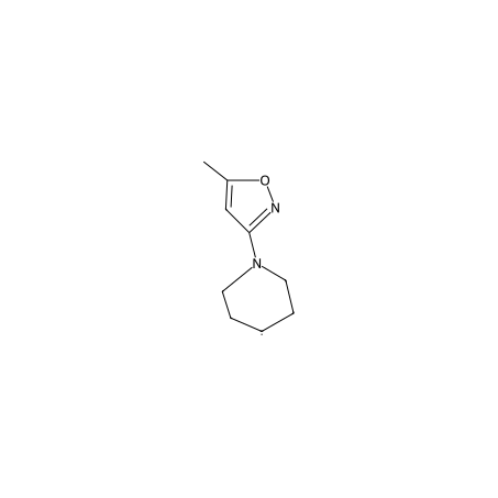 Cc1cc(N2CC[CH]CC2)no1